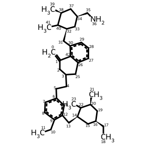 C=C1CC(CCc2ccc(CC)c(C[C@@H]3C[C@H](CC)C[C@H](C)C3C)c2)Cc2cccc(C[C@@H]3C[C@H](CN)C[C@H](C)C3C)c21